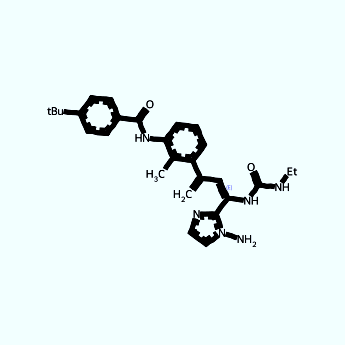 C=C(/C=C(/NC(=O)NCC)c1nccn1N)c1cccc(NC(=O)c2ccc(C(C)(C)C)cc2)c1C